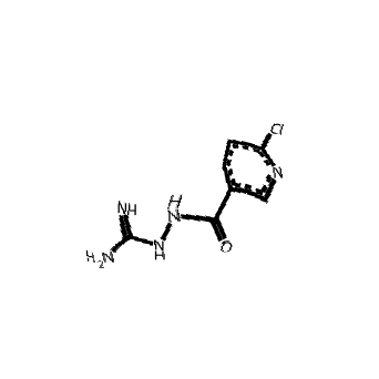 N=C(N)NNC(=O)c1ccc(Cl)nc1